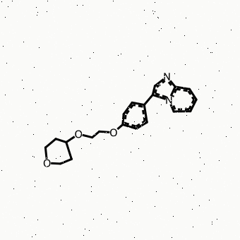 c1ccn2c(-c3ccc(OCCOC4CCOCC4)cc3)cnc2c1